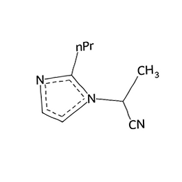 CCCc1nccn1C(C)C#N